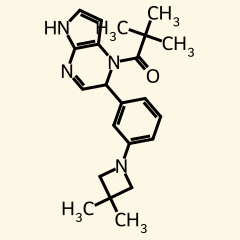 CC1(C)CN(c2cccc(C3C=Nc4[nH]ccc4N3C(=O)C(C)(C)C)c2)C1